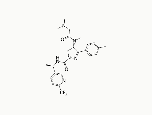 Cc1ccc(C2=NN(C(=O)N[C@H](C)c3ccc(C(F)(F)F)nc3)C[C@H]2N(C)C(=O)CN(C)C)cc1